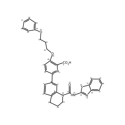 O=C(O)c1nc(-c2ccc3c(c2)N(C(=O)Nc2nc4ccccc4s2)CCC3)ccc1OCCCOc1ccccc1